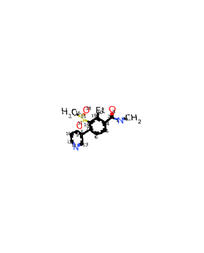 C=NC(=O)c1ccc(-c2cccnc2)c(S(C)(=O)=O)c1CC